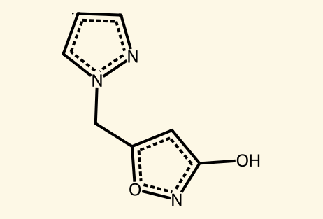 Oc1cc(Cn2c[c]cn2)on1